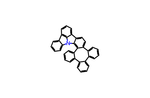 c1ccc2c(c1)-c1ccccc1-c1ccc3c4cccc5c6ccccc6n(c3c1-c1ccccc1-2)c54